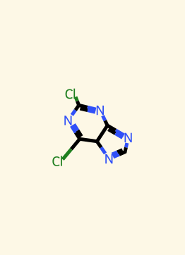 ClC1=NC2=NC=NC2C(Cl)=N1